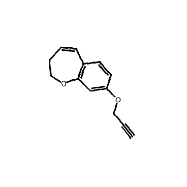 C#CCOc1ccc2c(c1)OCCC=C2